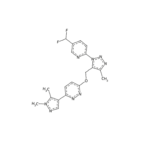 Cc1nnn(-c2ccc(C(F)F)cn2)c1COc1ccc(-c2cnn(C)c2C)nn1